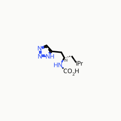 CC(C)C[C@@H](Cc1cnn[nH]1)NC(=O)O